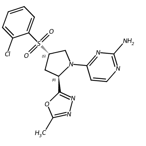 Cc1nnc([C@H]2C[C@H](S(=O)(=O)c3ccccc3Cl)CN2c2ccnc(N)n2)o1